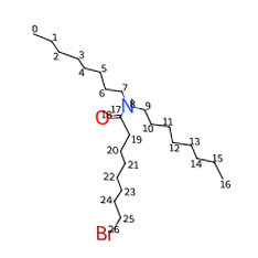 CCCCCCCCN(CCCCCCCC)C(=O)CCCCCCCBr